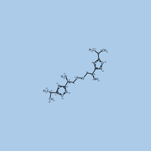 CC(C)c1nc([C@@H](N)CSSC[C@H](N)c2noc(C(C)C)n2)no1